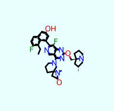 CCc1c(F)ccc2cc(O)cc(-c3ncc4c(N5CCCC6(CC(=O)N6C)C5)nc(OC[C@@]56CCCN5C[C@H](C)C6)nc4c3F)c12